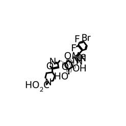 CO[C@@H]1[C@@H](n2cc(-c3ccc(Br)c(F)c3F)nn2)[C@@H](O)[C@@H](CO)O[C@@H]1Cc1cc(C2CCN(C(=O)O)CC2)on1